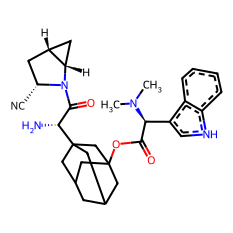 CN(C)[C@H](C(=O)OC12CC3CC(C1)CC([C@H](N)C(=O)N1[C@H](C#N)C[C@@H]4C[C@@H]41)(C3)C2)c1c[nH]c2ccccc12